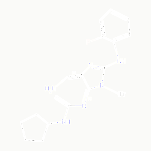 C=C(/N=C1\C(=C/N)N=C(Nc2ccccc2F)N1C(C)C)NC1CCCC1